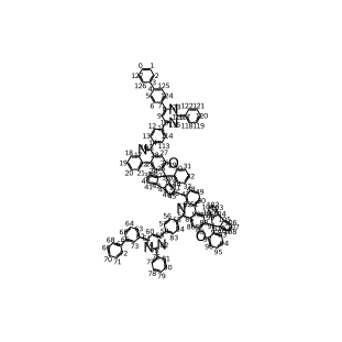 c1ccc(-c2ccc(-c3cc(-c4ccc(-c5nc6ccccc6c6cc7c(cc56)Oc5ccccc5C75c6ccccc6-c6ccc(-c7cccc8c7nc(-c7ccc(-c9cc(-c%10cccc(-c%11ccccc%11)c%10)nc(-c%10ccccc%10)n9)cc7)c7cc9c(cc78)C7(c8ccccc8O9)c8ccccc8-c8ccccc87)cc65)cc4)nc(-c4ccccc4)n3)cc2)cc1